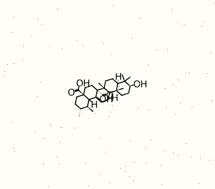 C[C@H]1[C@H](C)CC[C@]2(C(=O)O)CC[C@]3(C(=O)O)C(=CC[C@@H]4[C@@]5(C)CC[C@H](O)C(C)(C)[C@@H]5CC[C@]43C)[C@H]12